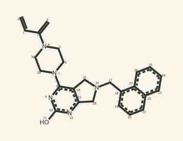 C=CC(=C)N1CCN(c2nc(O)nc3c2CN(Cc2cccc4ccccc24)C3)CC1